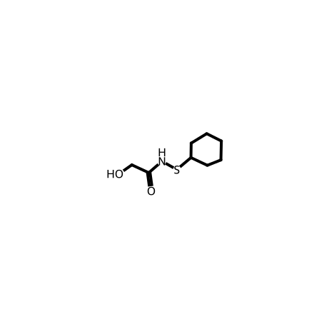 O=C(CO)NSC1CCCCC1